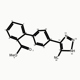 COC(=O)c1ccccc1-c1ccc(-c2nn[nH]c2C#N)cc1